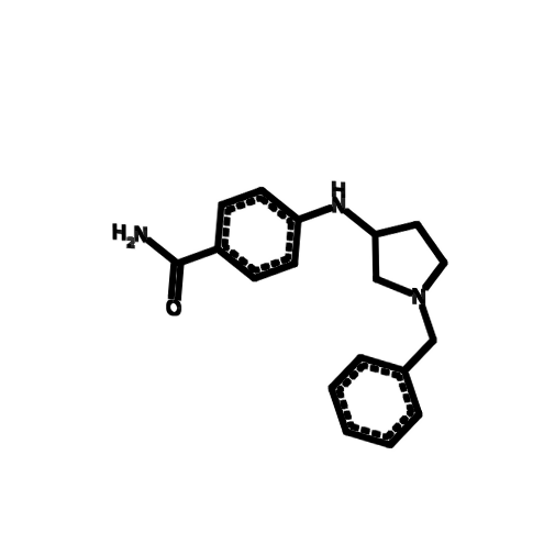 NC(=O)c1ccc(NC2CCN(Cc3ccccc3)C2)cc1